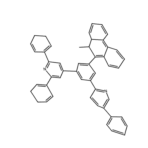 CC1C(c2cc(-c3cc(C4=CCCC=C4)nc(C4=CCCC=C4)c3)cc(-c3ccc(-c4ccccc4)cn3)c2)=c2ccccc2=C2C=CC=CC21